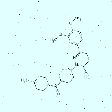 COc1ccc(C2=NN(C3CCN(C(=O)N4CCN(C)CC4)CC3)C(=O)CC2)cc1OC.Cl